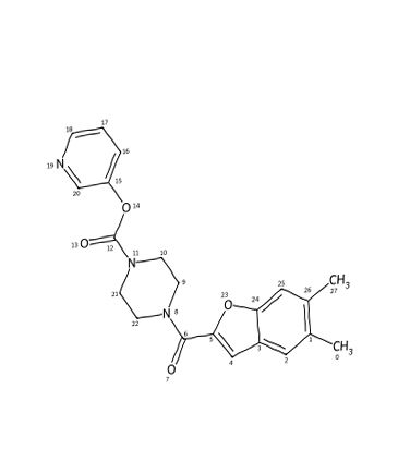 Cc1cc2cc(C(=O)N3CCN(C(=O)Oc4cccnc4)CC3)oc2cc1C